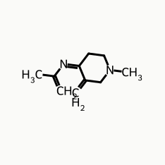 C=C(C)/N=C1/CCN(C)CC1=C